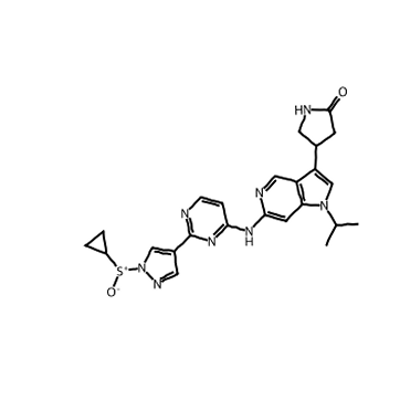 CC(C)n1cc(C2CNC(=O)C2)c2cnc(Nc3ccnc(-c4cnn([S+]([O-])C5CC5)c4)n3)cc21